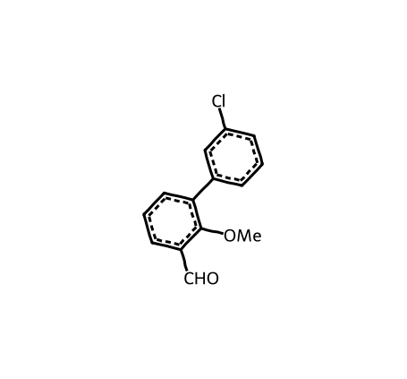 COc1c(C=O)cccc1-c1cccc(Cl)c1